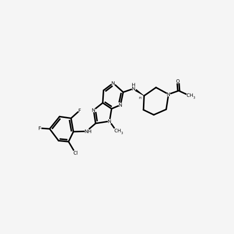 CC(=O)N1CCC[C@@H](Nc2ncc3nc(Nc4c(F)cc(F)cc4Cl)n(C)c3n2)C1